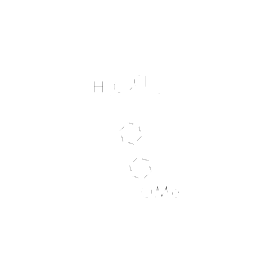 C=C(C)CCc1ccc(-c2ccc(OC)cc2)cc1